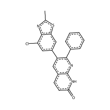 Cc1nc2c(Cl)cc(-c3cc4ccc(=O)[nH]c4nc3-c3ccccc3)cc2s1